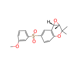 COc1cccc(S(=O)(=O)c2ccc3c(c2)[C@@H]2O[C@]2(C)C(C)(C)O3)c1